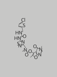 Cc1oc2ncn(C)c(=O)c2c1OC(=O)N(C)Cc1nsc(NC(=O)NCc2ccc(Cl)s2)n1